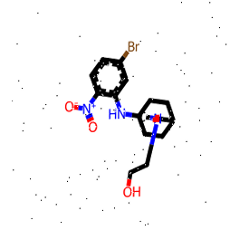 O=[N+]([O-])c1ccc(Br)cc1NC12CCC(CC1)CN(CCO)C2